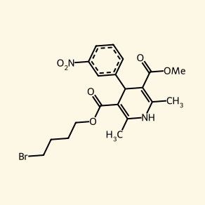 COC(=O)C1=C(C)NC(C)=C(C(=O)OCCCCBr)C1c1cccc([N+](=O)[O-])c1